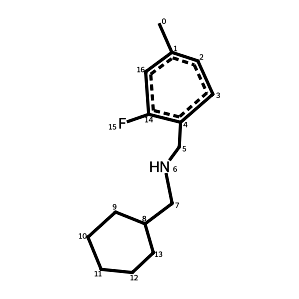 Cc1ccc(CNCC2CCCCC2)c(F)c1